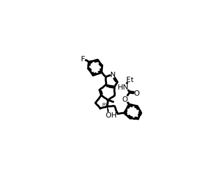 CCNC(=O)Oc1ccccc1CC[C@]1(O)CCC2=CC3=C(C=NC3c3ccc(F)cc3)CC21C